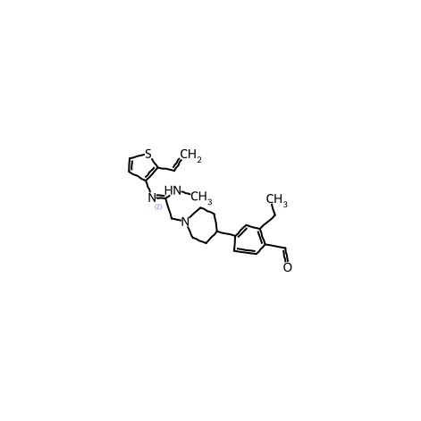 C=Cc1sccc1/N=C(/CN1CCC(c2ccc(C=O)c(CC)c2)CC1)NC